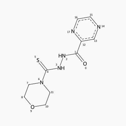 O=C(NNC(=S)N1CCOCC1)c1cnccn1